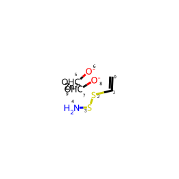 C=CSSN.O=C[O-].O=C[O-].[Zn+2]